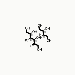 O=C(CO)[C@H](O)[C@@H](O)[C@H](O)CO.OC[C@@H](O)[C@@H](O)CO